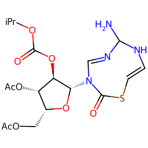 CC(=O)OC[C@H]1O[C@@H](N2/C=N/C(N)N/C=C/SC2=O)[C@H](OC(=O)OC(C)C)[C@H]1OC(C)=O